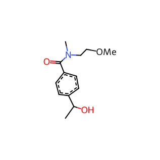 COCCN(C)C(=O)c1ccc(C(C)O)cc1